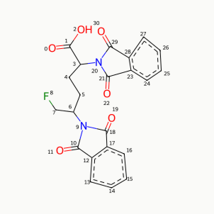 O=C(O)C(CCC(CF)N1C(=O)c2ccccc2C1=O)N1C(=O)c2ccccc2C1=O